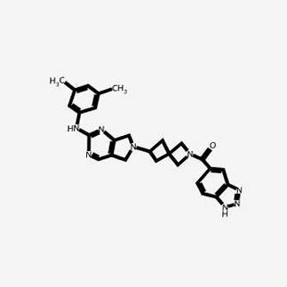 Cc1cc(C)cc(Nc2ncc3c(n2)CN(C2CC4(C2)CN(C(=O)c2ccc5[nH]nnc5c2)C4)C3)c1